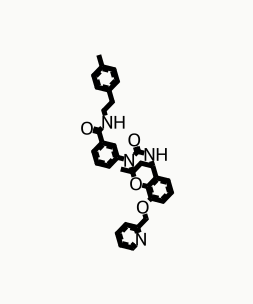 Cc1ccc(CCNC(=O)c2cccc(N3C(=O)NC4CC3(C)Oc3c(OCc5ccccn5)cccc34)c2)cc1